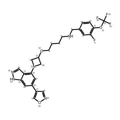 Fc1cc(CNCCCCOC2CN(c3cc(-c4cnoc4)cc4[nH]ncc34)C2)ccc1OC(F)(F)F